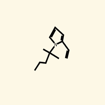 C=Cc1cccn1C(C)(C)CCC